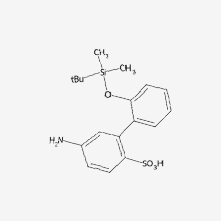 CC(C)(C)[Si](C)(C)Oc1ccccc1-c1cc(N)ccc1S(=O)(=O)O